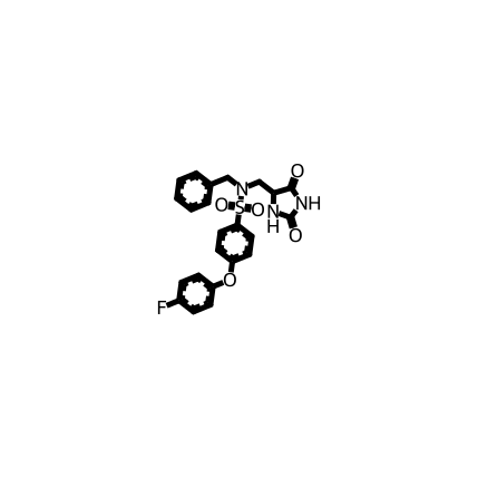 O=C1NC(=O)C(CN(Cc2ccccc2)S(=O)(=O)c2ccc(Oc3ccc(F)cc3)cc2)N1